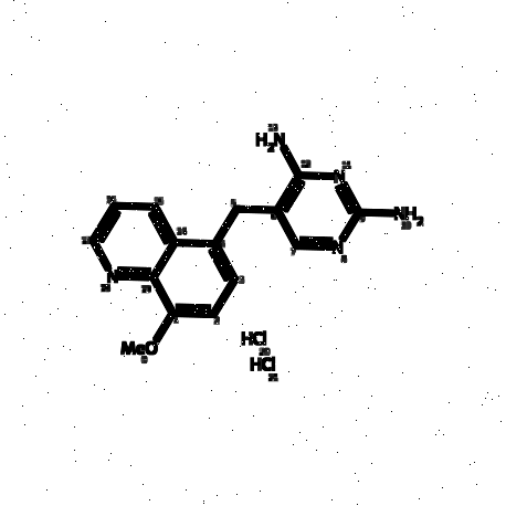 COc1ccc(Cc2cnc(N)nc2N)c2cccnc12.Cl.Cl